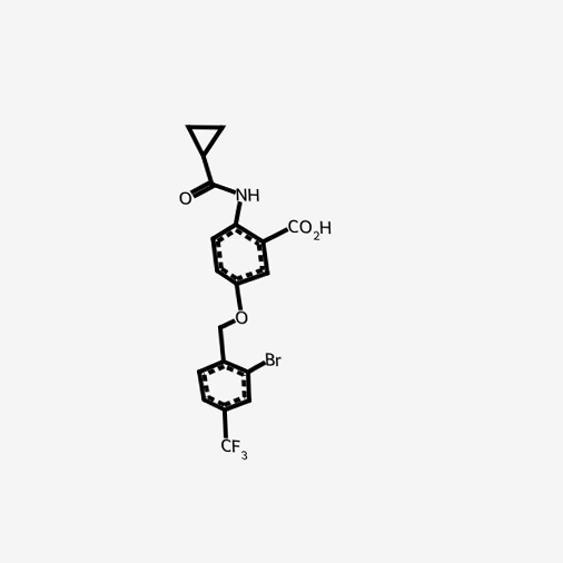 O=C(O)c1cc(OCc2ccc(C(F)(F)F)cc2Br)ccc1NC(=O)C1CC1